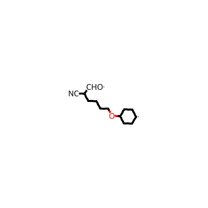 N#CC([C]=O)CCCCOC1CC[CH]CC1